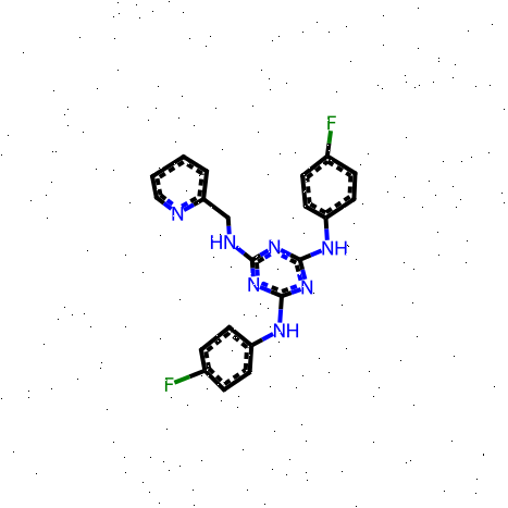 Fc1ccc(Nc2nc(NCc3ccccn3)nc(Nc3ccc(F)cc3)n2)cc1